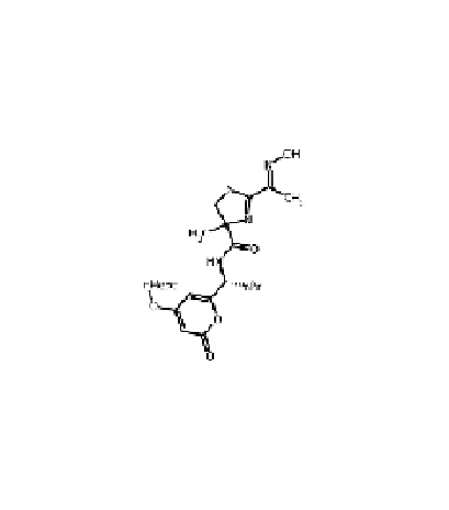 CCCCCCCOc1cc([C@@H](CCC)NC(=O)C2(C)CSC(/C(C)=N/O)=N2)oc(=O)c1